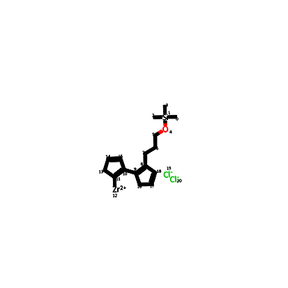 C[Si](C)(C)OCCCC1=C(C2=[C]([Zr+2])CC=C2)CC=C1.[Cl-].[Cl-]